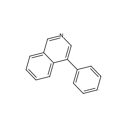 [c]1ccc(-c2cncc3ccccc23)cc1